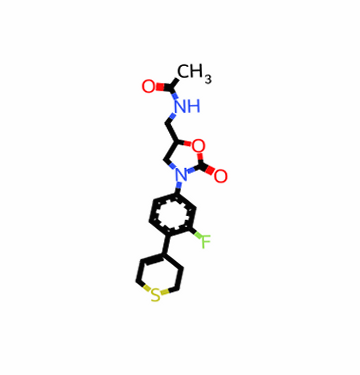 CC(=O)NCC1CN(c2ccc(C3=CCSCC3)c(F)c2)C(=O)O1